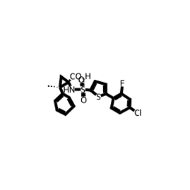 C[C@]1(c2ccccc2)C[C@@]1(NS(=O)(=O)c1ccc(-c2ccc(Cl)cc2F)s1)C(=O)O